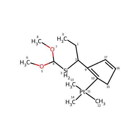 CCC([SiH2]C(OC)OC)C1=[C]([Pt]([CH3])([CH3])[CH3])CC=C1